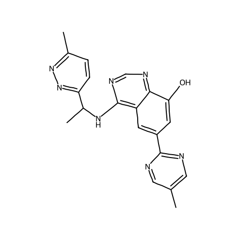 Cc1cnc(-c2cc(O)c3ncnc(NC(C)c4ccc(C)nn4)c3c2)nc1